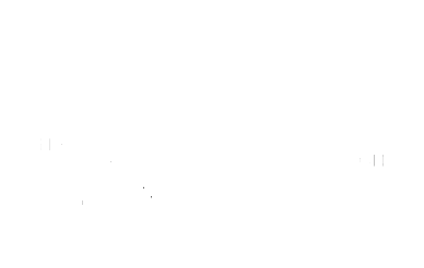 CC1(C)CCc2c(ccc3c(O)cccc23)N1